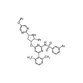 CC(=O)c1cccc(S(=O)(=O)Nc2nc(OC3CC(c4ncc(OC(C)C)cn4)NC3C(C)C)cc(-c3c(C)cccc3C)n2)c1